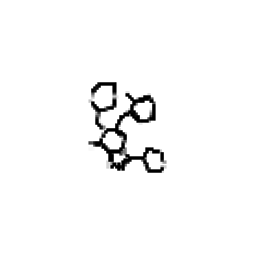 Cc1ccccc1Cc1cn2c(C3CCOCC3)nnc2c(=O)n1CC1CCCCCC1